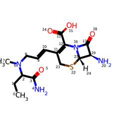 CCC(C(N)=O)N(C)C/C=C/C1=C(C(=O)O)N2C(=O)[C@@H](N)[C@@H]2SC1